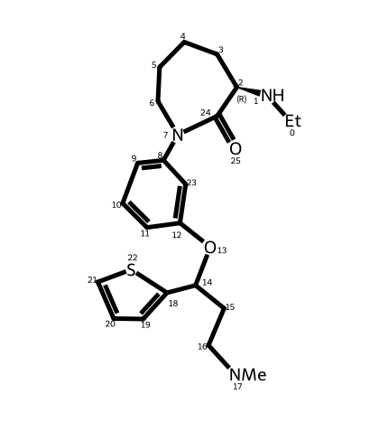 CCN[C@@H]1CCCCN(c2cccc(OC(CCNC)c3cccs3)c2)C1=O